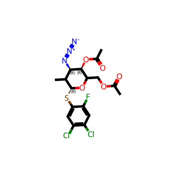 CC(=O)OCC1O[C@H](Sc2cc(Cl)c(Cl)cc2F)C(C)[C@@H](N=[N+]=[N-])[C@H]1OC(C)=O